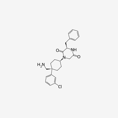 NC[C@]1(c2cccc(Cl)c2)CC[C@H](N2CC(=O)N[C@H](Cc3ccccc3)C2=O)CC1